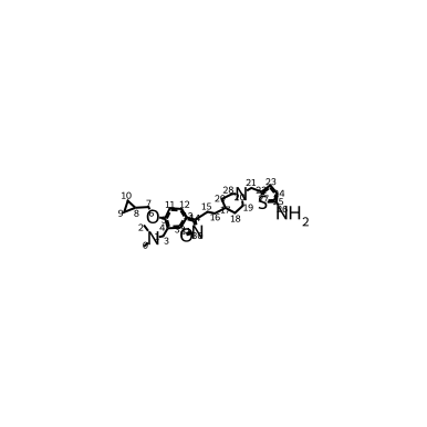 CN(C)Cc1c(OCC2CC2)ccc2c(CCC3CCN(Cc4ccc(N)s4)CC3)noc12